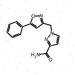 NC(=O)c1[c]cn(Cc2cc(-c3ccccc3)on2)n1